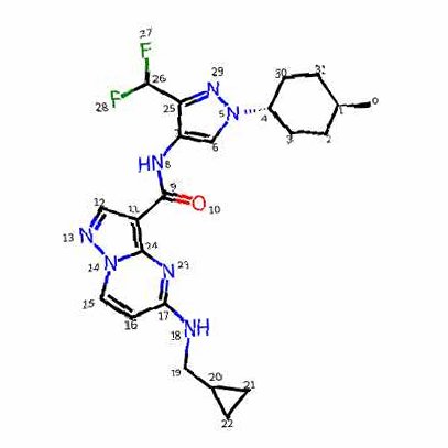 C[C@H]1CC[C@H](n2cc(NC(=O)c3cnn4ccc(NCC5CC5)nc34)c(C(F)F)n2)CC1